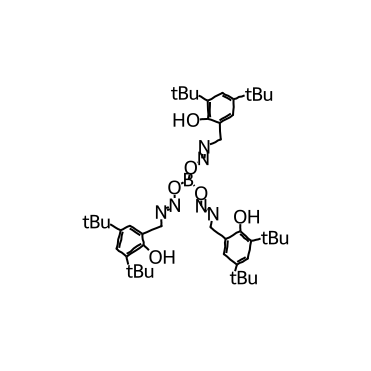 CC(C)(C)c1cc(C/N=N/OB(O/N=N/Cc2cc(C(C)(C)C)cc(C(C)(C)C)c2O)O/N=N/Cc2cc(C(C)(C)C)cc(C(C)(C)C)c2O)c(O)c(C(C)(C)C)c1